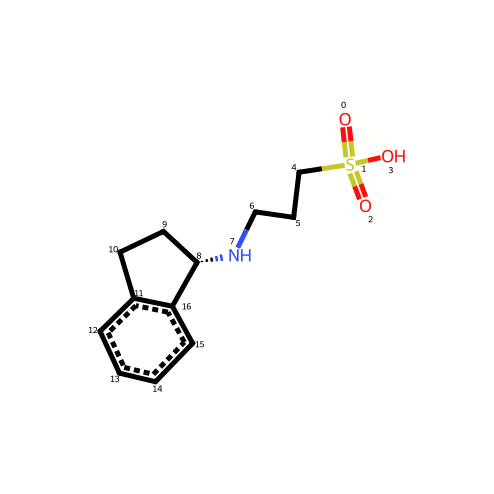 O=S(=O)(O)CCCN[C@H]1CCc2ccccc21